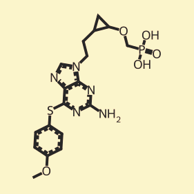 COc1ccc(Sc2nc(N)nc3c2ncn3CCC2CC2OCP(=O)(O)O)cc1